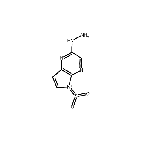 NNc1cnc2c(n1)C=C[N+]2=S(=O)=O